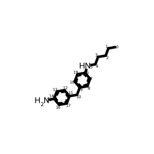 CCCCCNc1ccc(Cc2ccc(N)cc2)cc1